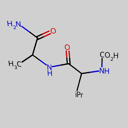 CC(NC(=O)C(NC(=O)O)C(C)C)C(N)=O